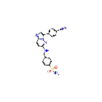 N#Cc1ccc(-c2cnc3ccc(NCc4ccc(S(N)(=O)=O)cc4)nn23)cc1